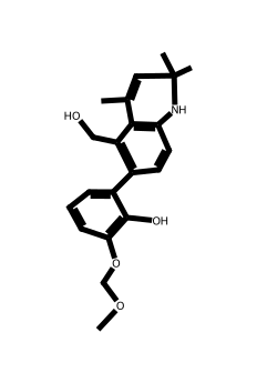 COCOc1cccc(-c2ccc3c(c2CO)C(C)=CC(C)(C)N3)c1O